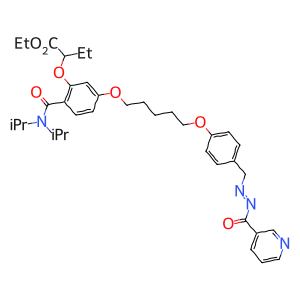 CCOC(=O)C(CC)Oc1cc(OCCCCCOc2ccc(CN=NC(=O)c3cccnc3)cc2)ccc1C(=O)N(C(C)C)C(C)C